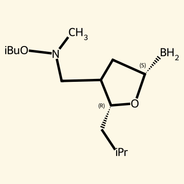 B[C@H]1CC(CN(C)OCC(C)C)[C@@H](CC(C)C)O1